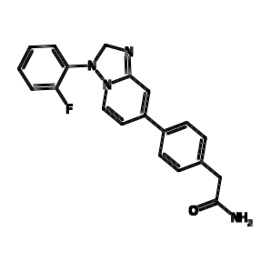 NC(=O)Cc1ccc(C2=CC3=NCN(c4ccccc4F)N3C=C2)cc1